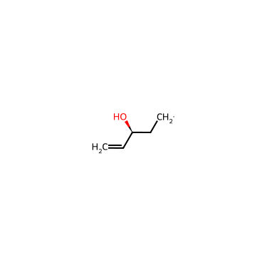 [CH2]C[C@H](O)C=C